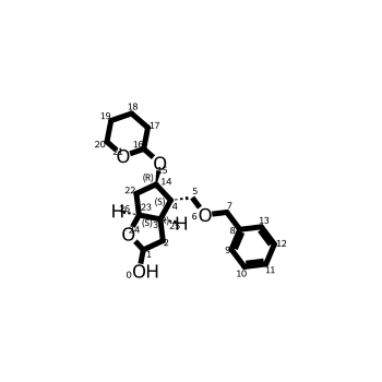 OC1C[C@@H]2[C@@H](COCc3ccccc3)[C@H](OC3CCCCO3)C[C@@H]2O1